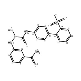 CCCCN(Nc1cccc(C(=N)N)c1)C(=O)Nc1ccc(-c2ccccc2S(C)(=O)=O)cc1